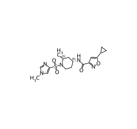 C[C@H]1C[C@H](NC(=O)c2cc(C3CC3)on2)CCN1S(=O)(=O)c1cn(C)cn1